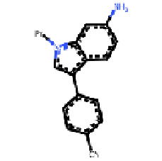 CC(C)n1cc(-c2ccc(C#N)cc2)c2ccc(N)cc21